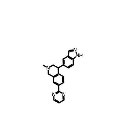 CN1Cc2cc(-c3ncccn3)ccc2C(c2ccc3[nH]ncc3c2)C1